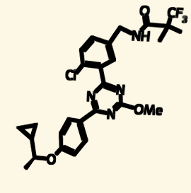 COc1nc(-c2ccc(O[C@@H](C)C3CC3)cc2)nc(-c2cc(CNC(=O)C(C)(C)C(F)(F)F)ccc2Cl)n1